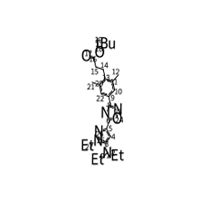 CCN(CC)c1cc(-c2nc(-c3cc(C)c(CCC(=O)OC(C)(C)C)c(C)c3)no2)nn1CC